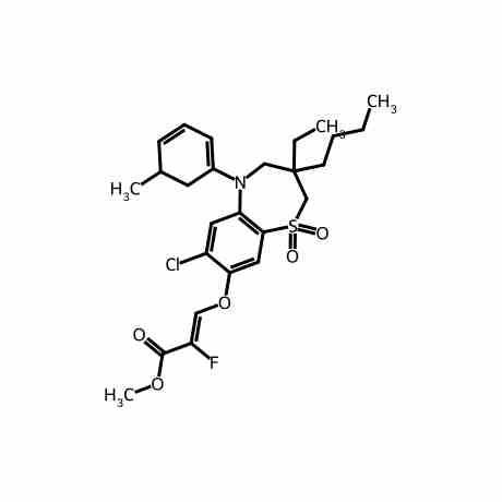 CCCCC1(CC)CN(C2=CC=CC(C)C2)c2cc(Cl)c(O/C=C(\F)C(=O)OC)cc2S(=O)(=O)C1